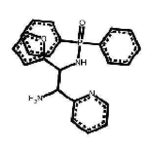 NC(c1ccccn1)C(NP(=O)(c1ccccc1)c1ccccc1)c1ccco1